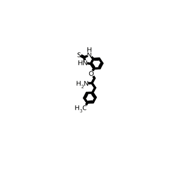 Cc1ccc(CC(N)COc2cccc3[nH]c(=S)[nH]c23)cc1